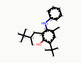 Cc1cc(C(C)(C)C)c(O)c(CC(C)C(C)(C)C)c1Nc1ccccc1